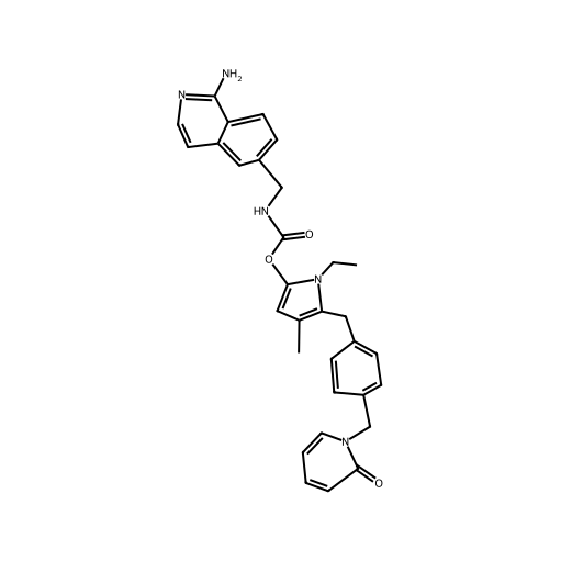 CCn1c(OC(=O)NCc2ccc3c(N)nccc3c2)cc(C)c1Cc1ccc(Cn2ccccc2=O)cc1